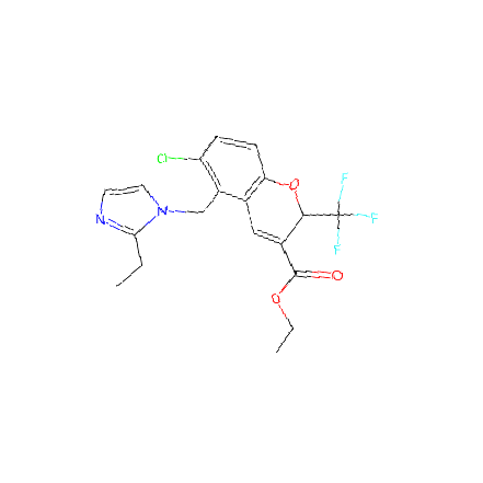 CCOC(=O)C1=Cc2c(ccc(Cl)c2Cn2ccnc2CC)OC1C(F)(F)F